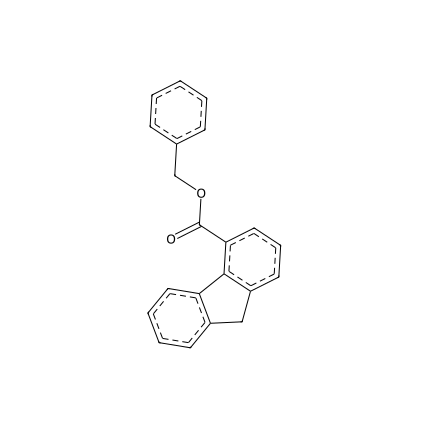 O=C(OCc1ccccc1)c1cccc2c1-c1ccccc1C2